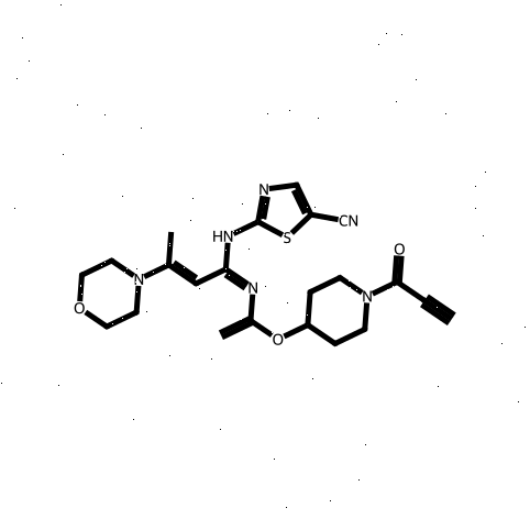 C#CC(=O)N1CCC(OC(=C)/N=C(\C=C(/C)N2CCOCC2)Nc2ncc(C#N)s2)CC1